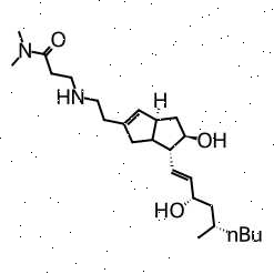 CCCC[C@H](C)C[C@H](O)/C=C/[C@@H]1C2CC(CCNCCC(=O)N(C)C)=C[C@H]2C[C@H]1O